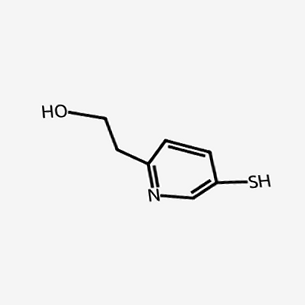 OCCc1ccc(S)cn1